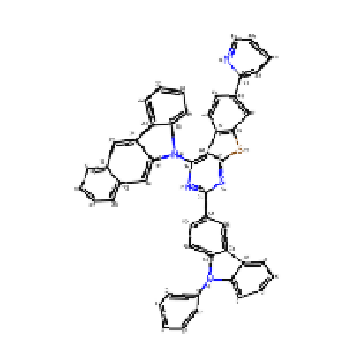 c1ccc(-n2c3ccccc3c3cc(-c4nc(-n5c6ccccc6c6cc7ccccc7cc65)c5c(n4)sc4cc(-c6ccccn6)ccc45)ccc32)cc1